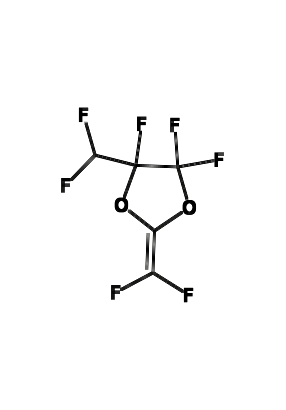 FC(F)=C1OC(F)(F)C(F)(C(F)F)O1